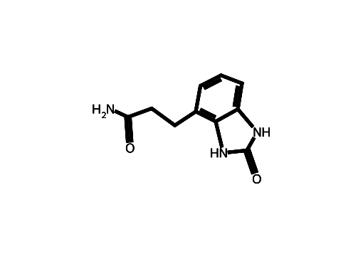 NC(=O)CCc1cccc2[nH]c(=O)[nH]c12